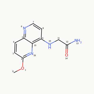 COc1ccc2nccc(NCC(N)=O)c2n1